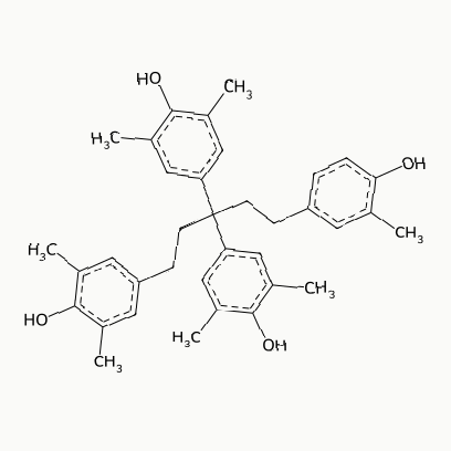 Cc1cc(CCC(CCc2cc(C)c(O)c(C)c2)(c2cc(C)c(O)c(C)c2)c2cc(C)c(O)c(C)c2)ccc1O